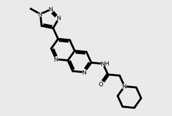 Cn1cc(-c2cnc3cnc(NC(=O)CN4CCCCC4)cc3c2)nn1